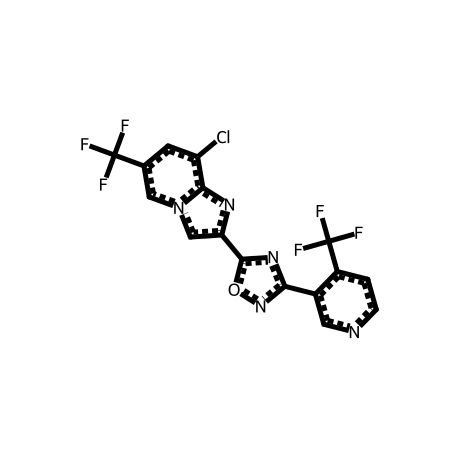 FC(F)(F)c1cc(Cl)c2nc(-c3nc(-c4cnccc4C(F)(F)F)no3)cn2c1